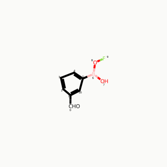 O=Cc1cccc(B(O)OF)c1